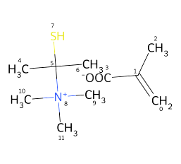 C=C(C)C(=O)[O-].CC(C)(S)[N+](C)(C)C